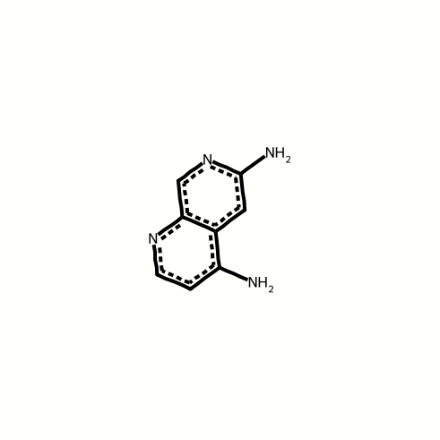 Nc1cc2c(N)ccnc2cn1